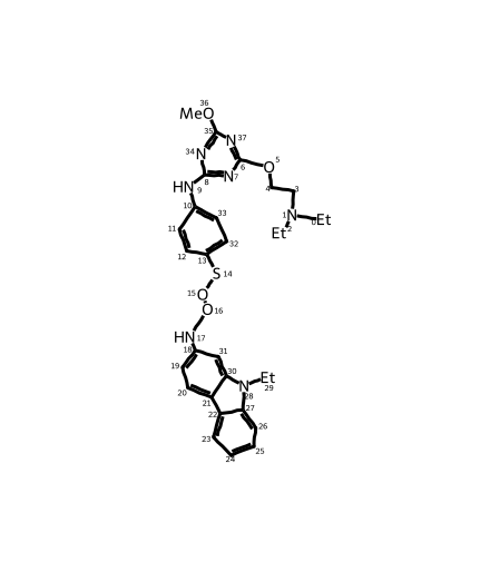 CCN(CC)CCOc1nc(Nc2ccc(SOONc3ccc4c5ccccc5n(CC)c4c3)cc2)nc(OC)n1